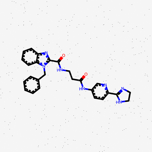 O=C(CCNC(=O)c1nc2ccccc2n1Cc1ccccc1)Nc1ccc(C2=NCCN2)nc1